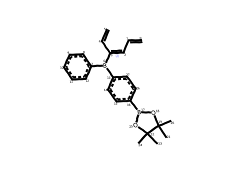 C=C/C=C(\C=C)B(c1ccccc1)c1ccc(B2OC(C)(C)C(C)(C)O2)cc1